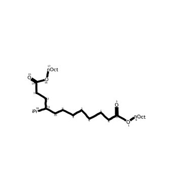 CCCCCCCCOC(=O)CCCCCCCC(CCC(=O)OCCCCCCCC)C(C)C